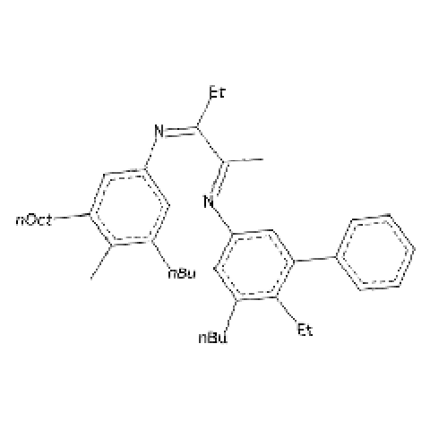 CCCCCCCCc1cc(N=C(CC)C(C)=Nc2cc(CCCC)c(CC)c(-c3ccccc3)c2)cc(CCCC)c1C